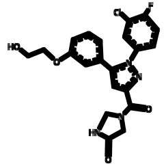 O=C1CN(C(=O)c2cc(-c3cccc(OCCO)c3)n(-c3ccc(F)c(Cl)c3)n2)CN1